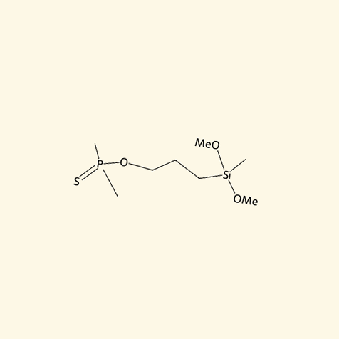 CO[Si](C)(CCCOP(C)(C)=S)OC